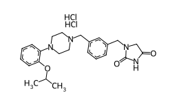 CC(C)Oc1ccccc1N1CCN(Cc2cccc(CN3CC(=O)NC3=O)c2)CC1.Cl.Cl